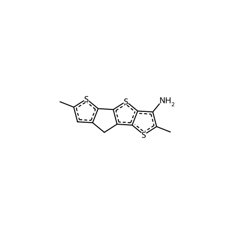 Cc1cc2c(s1)-c1sc3c(N)c(C)sc3c1C2